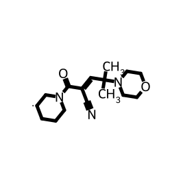 CC(C)(C=C(C#N)C(=O)N1C[CH]CCC1)N1CCOCC1